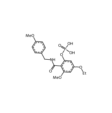 CCOc1cc(OC)c(C(=O)NCc2ccc(OC)cc2)c(OP(=O)(O)O)c1